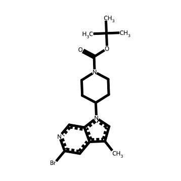 Cc1cn(C2CCN(C(=O)OC(C)(C)C)CC2)c2cnc(Br)cc12